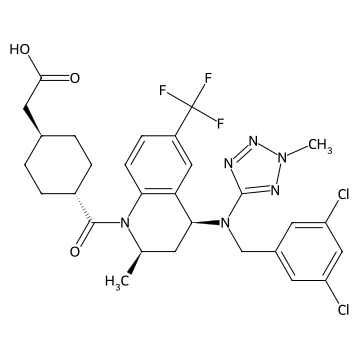 C[C@@H]1C[C@H](N(Cc2cc(Cl)cc(Cl)c2)c2nnn(C)n2)c2cc(C(F)(F)F)ccc2N1C(=O)[C@H]1CC[C@H](CC(=O)O)CC1